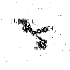 COC(=O)NC(C(=O)N1CCCC1c1ncc(-c2ccc(C#CC#Cc3cnc(C4CCCN4C(=O)O)[nH]3)c(-c3ccc(N4CCN(C)CC4)cc3)c2)[nH]1)C(C)C